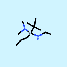 CCC[Si](NCC)(N(C)C)C(C)(C)C